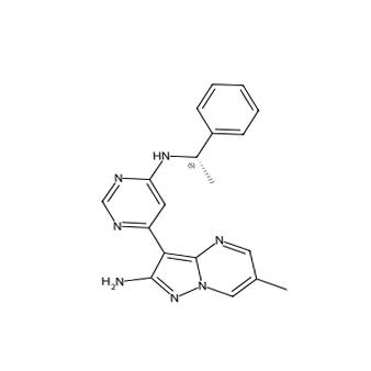 Cc1cnc2c(-c3cc(N[C@@H](C)c4ccccc4)ncn3)c(N)nn2c1